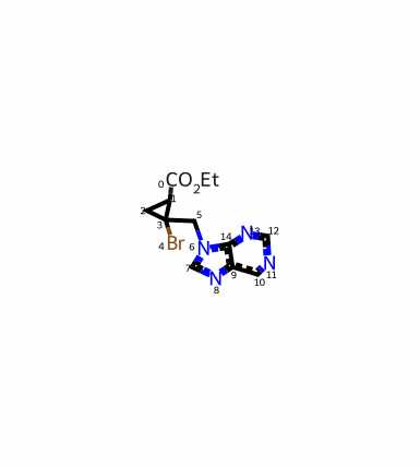 CCOC(=O)C1CC1(Br)Cn1cnc2cncnc21